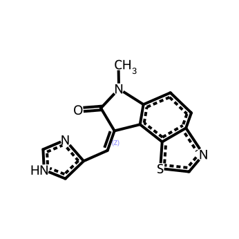 CN1C(=O)/C(=C\c2c[nH]cn2)c2c1ccc1ncsc21